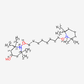 CC1(C)C[CH]CC(C)(C)N1OCCCCCCCCON1C(C)(C)CC(O)CC1(C)C